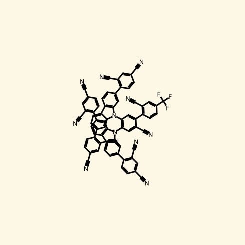 N#Cc1ccc(-c2ccc3c4ccc(-c5ccc(C#N)cc5C#N)cc4n(-c4cc(C#N)c(-c5ccc(C(F)(F)F)cc5C#N)cc4-n4c5cc(-c6ccc(C#N)cc6C#N)ccc5c5ccc(-c6ccc(C#N)cc6C#N)cc54)c3c2)c(C#N)c1